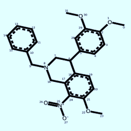 COc1ccc(C2CN(Cc3ccccc3)Cc3c2ccc(OC)c3[N+](=O)[O-])cc1OC